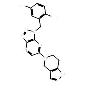 Oc1ccc(O)c(Cn2nnc3ncc(N4CCc5[nH]ncc5C4)nc32)c1